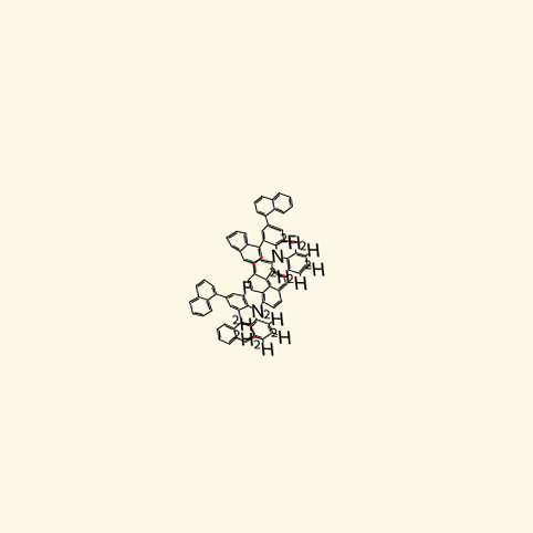 [2H]c1c([2H])c([2H])c(N(c2c(F)cc(-c3cccc4ccccc34)cc2-c2cccc3ccccc23)c2ccc3ccc4c(N(c5c(F)cc(-c6cccc7ccccc67)cc5-c5cccc6ccccc56)c5c([2H])c([2H])c([2H])c([2H])c5[2H])ccc5ccc2c3c54)c([2H])c1[2H]